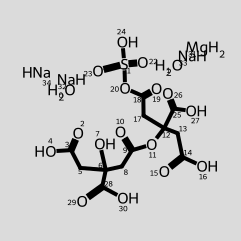 O.O.O=C(O)CC(O)(CC(=O)OC(CC(=O)O)(CC(=O)OS(=O)(=O)O)C(=O)O)C(=O)O.[MgH2].[NaH].[NaH].[NaH]